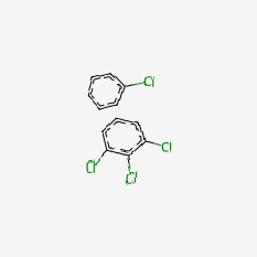 Clc1cccc(Cl)c1Cl.Clc1ccccc1